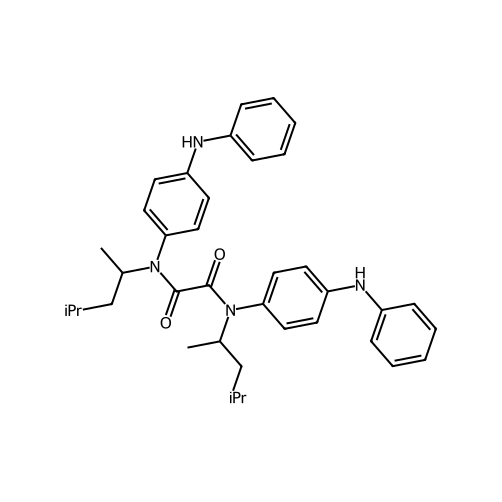 CC(C)CC(C)N(C(=O)C(=O)N(c1ccc(Nc2ccccc2)cc1)C(C)CC(C)C)c1ccc(Nc2ccccc2)cc1